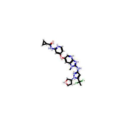 Cn1c(Nc2cc(C(C)(F)F)n([C@H]3CCOC3)n2)nc2ncc(Oc3ccnc(NC(=O)C4CC4)c3)cc21